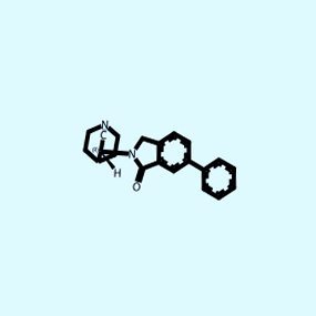 O=C1c2cc(-c3ccccc3)ccc2CN1[C@H]1CN2CCC1CC2